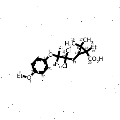 CCOc1ccc(OC(F)(F)C(Cl)(Cl)CC2C(C)(C)C2(CC)C(=O)O)cc1